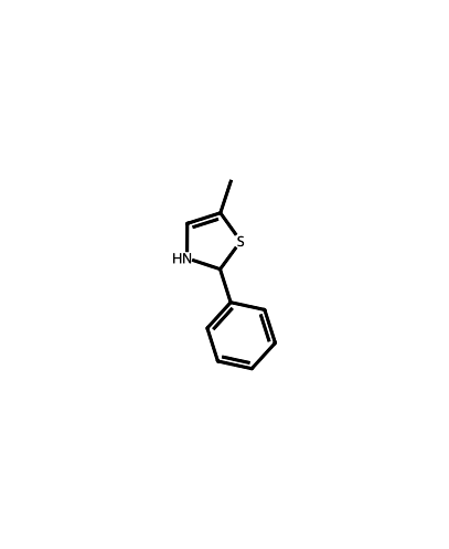 CC1=CNC(c2ccccc2)S1